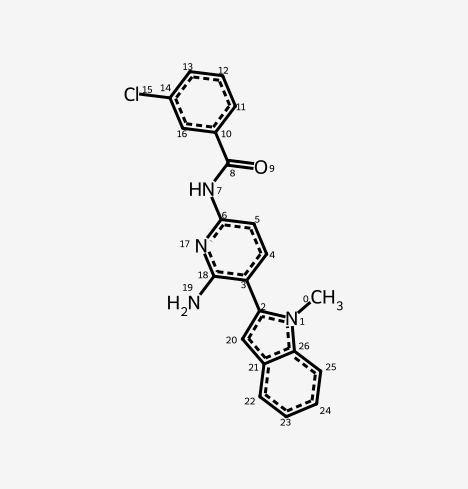 Cn1c(-c2ccc(NC(=O)c3cccc(Cl)c3)nc2N)cc2ccccc21